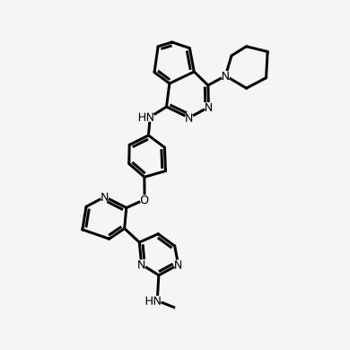 CNc1nccc(-c2cccnc2Oc2ccc(Nc3nnc(N4CCCCC4)c4ccccc34)cc2)n1